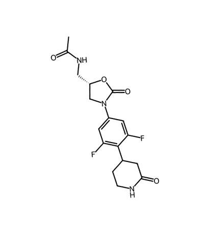 CC(=O)NC[C@H]1CN(c2cc(F)c(C3CCNC(=O)C3)c(F)c2)C(=O)O1